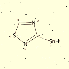 [SnH][c]1ncsn1